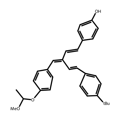 COC(C)Oc1ccc(C=C(C=Cc2ccc(O)cc2)C=Cc2ccc(C(C)(C)C)cc2)cc1